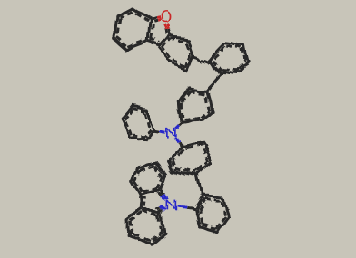 c1ccc(N(c2ccc(-c3ccccc3-c3ccc4c(c3)oc3ccccc34)cc2)c2ccc(-c3ccccc3-n3c4ccccc4c4ccccc43)cc2)cc1